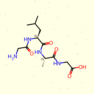 CC(C)C[C@H](NC(=O)CN)C(=O)N[C@@H](C)C(=O)NCC(=O)O